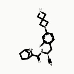 N#C[C@H](Cc1ccc(N2CC3(CNC3)C2)cc1F)NC(=O)C1NC2CCC1C2